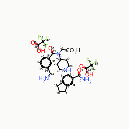 NC(=O)c1ccc2c(c1)CCC2.NCc1cccc(C(=O)N(CC(=O)O)C2CCNCC2)c1.O=C(O)C(F)(F)F.O=C(O)C(F)(F)F